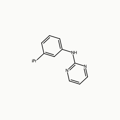 CC(C)c1cccc(Nc2ncccn2)c1